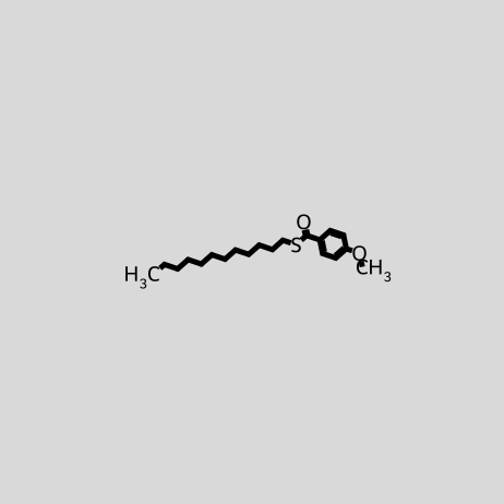 CCCCCCCCCCCCSC(=O)c1ccc(OC)cc1